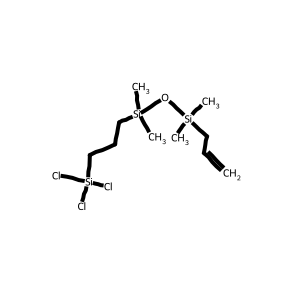 C=CC[Si](C)(C)O[Si](C)(C)CCC[Si](Cl)(Cl)Cl